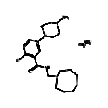 NC1CCN(c2ccc(Cl)c(C(=O)NC[C]3CCCCCCC3)c2)CC1.[CH2].[CH2]